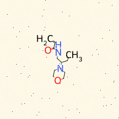 C=CC(=O)NCC(CC)N1CCOCC1